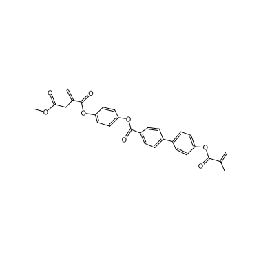 C=C(C)C(=O)Oc1ccc(-c2ccc(C(=O)Oc3ccc(OC(=O)C(=C)CC(=O)OC)cc3)cc2)cc1